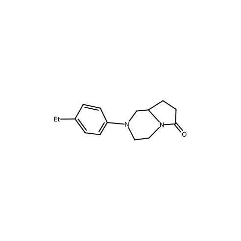 CCc1ccc(N2CCN3C(=O)CCC3C2)cc1